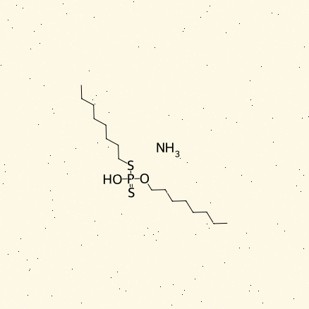 CCCCCCCCOP(O)(=S)SCCCCCCCC.N